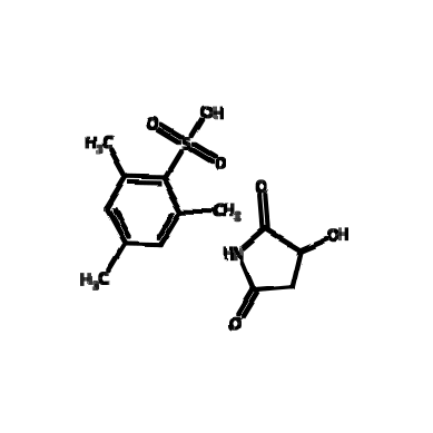 Cc1cc(C)c(S(=O)(=O)O)c(C)c1.O=C1CC(O)C(=O)N1